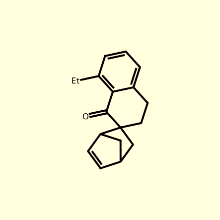 CCc1cccc2c1C(=O)C1(CC2)CC2C=CC1C2